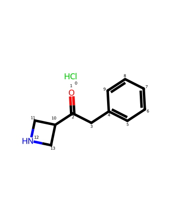 Cl.O=C(Cc1ccccc1)C1CNC1